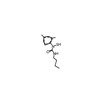 CCCCNC(=O)N(S)c1ccc(C)cc1C